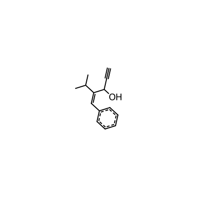 C#CC(O)C(=Cc1ccccc1)C(C)C